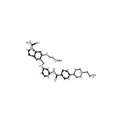 CCOCCOc1cc2c(ccn2C(N)=O)cc1COc1ccnc(NC(=O)c2ccc(C3CCN(CCO)CC3)cc2)c1